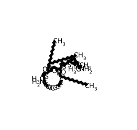 CCCCCCCCCCCCC1CCCCCCCCCCC(C)(N)c2ccc(s2)C2=c3cc4c(cc3N(CC(CCCCCCCCCC)CCCCCCCCCCCC)C2=O)=C(c2ccc(-c3cc5ccc6cc(C(C)(C)N)sc6c5s3)s2)C(=O)N4C1